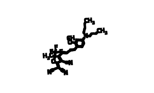 CCCCN(CCCC)c1ccc(C=CC=CC2=C(C#N)C(=C(C#N)C#N)OC2(C)C(F)(F)F)c(OC)c1